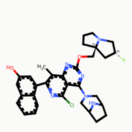 Cc1c(-c2cc(O)cc3ccccc23)nc(Cl)c2c(N3CC4CCC(C3)N4)nc(OC[C@@]34CCCN3C[C@H](F)C4)nc12